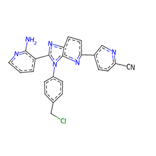 N#Cc1ccc(-c2ccc3nc(-c4cccnc4N)n(-c4ccc(CCl)cc4)c3n2)cn1